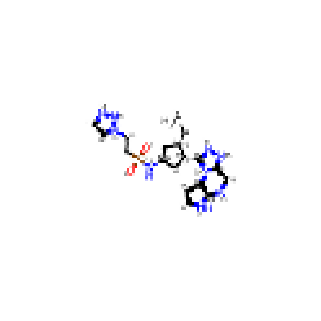 CC[C@@H]1C[C@H](NS(=O)(=O)CCn2ccnn2)C[C@@H]1c1nnc2cnc3[nH]ccc3n12